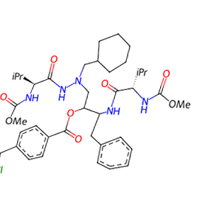 COC(=O)N[C@H](C(=O)NC(Cc1ccccc1)C(CN(CC1CCCCC1)NC(=O)[C@@H](NC(=O)OC)C(C)C)OC(=O)c1ccc(CCl)cc1)C(C)C